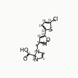 O=C(O)c1nccn1Cc1cc(-c2ccc(Cl)s2)on1